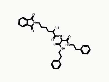 O=C(NC(C(=O)NCCc1ccccc1)C(=O)NCCc1ccccc1)C(S)CCCCN1C(=O)c2ccccc2C1=O